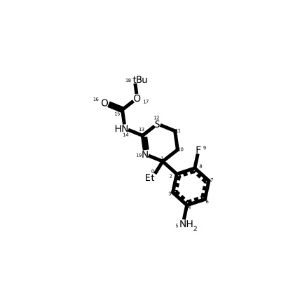 CCC1(c2cc(N)ccc2F)CCSC(NC(=O)OC(C)(C)C)=N1